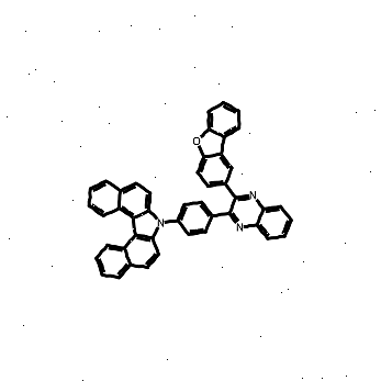 c1ccc2c(c1)ccc1c2c2c3ccccc3ccc2n1-c1ccc(-c2nc3ccccc3nc2-c2ccc3oc4ccccc4c3c2)cc1